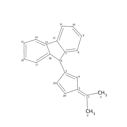 CC(C)=C1[C]=C(C2c3ccccc3-c3ccccc32)C=C1